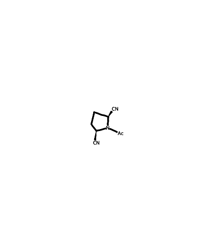 CC(=O)N1[C@H](C#N)CC[C@@H]1C#N